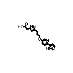 O=C(O)Cn1cc(CCCOc2ccc(-c3ccn[nH]3)nc2)nn1